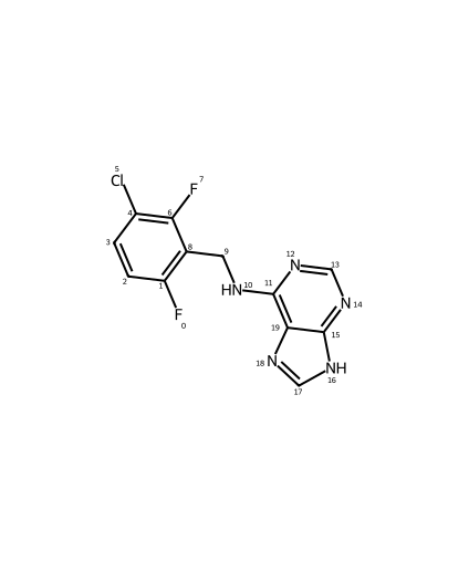 Fc1ccc(Cl)c(F)c1CNc1ncnc2[nH]cnc12